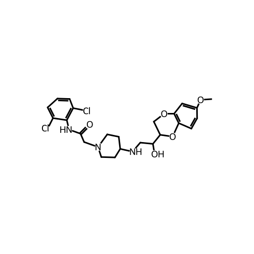 COc1ccc2c(c1)OCC(C(O)CNC1CCN(CC(=O)Nc3c(Cl)cccc3Cl)CC1)O2